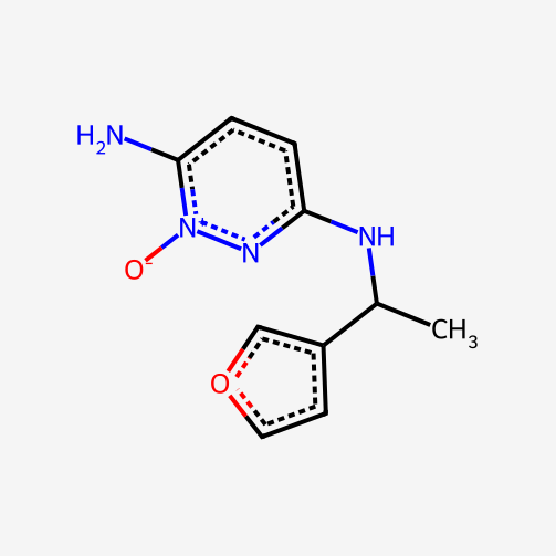 CC(Nc1ccc(N)[n+]([O-])n1)c1ccoc1